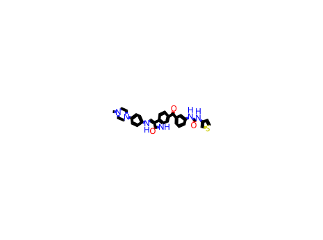 CN1CCN(c2ccc(NC=C3C(=O)Nc4cc(C(=O)c5cccc(NC(=O)Nc6ccsc6)c5)ccc43)cc2)CC1